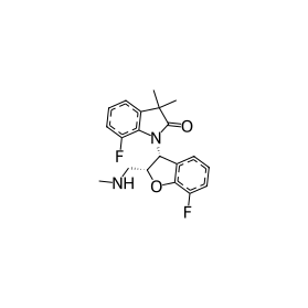 CNC[C@H]1Oc2c(F)cccc2[C@H]1N1C(=O)C(C)(C)c2cccc(F)c21